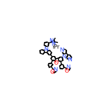 Cc1nc(-c2cccc(-n3c4ccccc4c4cc(-c5cc(-c6cccc(-c7ncco7)c6)c6oc7c(-c8cccc(-c9ncco9)c8)cc(-n8c9cnccc9c9ccncc98)cc7c6c5)ccc43)c2)n(C(C)C)c1C